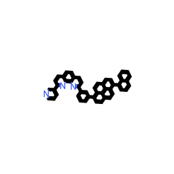 c1cncc(-c2ccc3ccc4ccc(-c5cccc(-c6ccc7ccc8c(-c9cccc%10ccccc9%10)ccc9ccc6c7c98)c5)nc4c3n2)c1